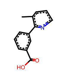 Cc1cccnc1-c1cccc(C(=O)O)c1